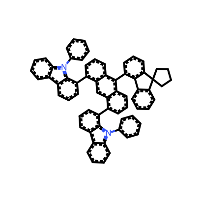 c1ccc(-n2c3ccccc3c3cccc(-c4cccc5c(-c6cccc7c6-c6ccccc6C76CCCC6)c6cccc(-c7cccc8c9ccccc9n(-c9ccccc9)c78)c6cc45)c32)cc1